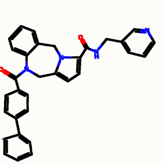 O=C(NCc1cccnc1)c1ccc2n1Cc1ccccc1N(C(=O)c1ccc(-c3[c]cccc3)cc1)C2